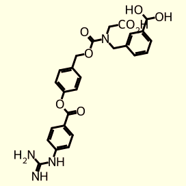 N=C(N)Nc1ccc(C(=O)Oc2ccc(COC(=O)N(CC(=O)O)Cc3cccc(C(O)O)c3)cc2)cc1